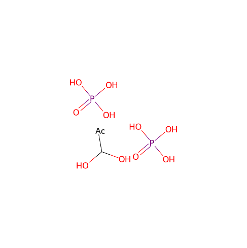 CC(=O)C(O)O.O=P(O)(O)O.O=P(O)(O)O